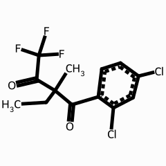 CCC(C)(C(=O)c1ccc(Cl)cc1Cl)C(=O)C(F)(F)F